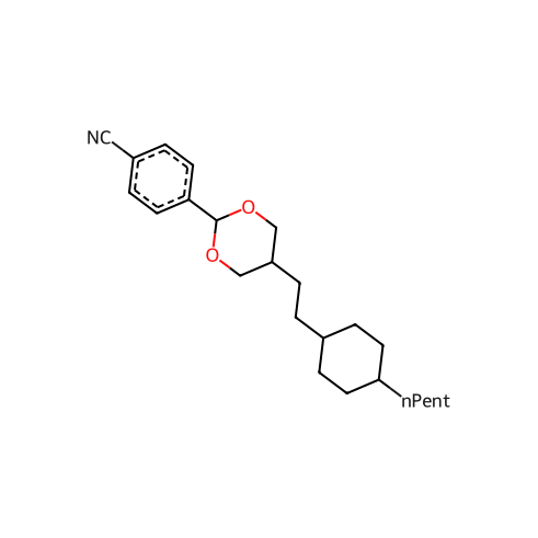 CCCCCC1CCC(CCC2COC(c3ccc(C#N)cc3)OC2)CC1